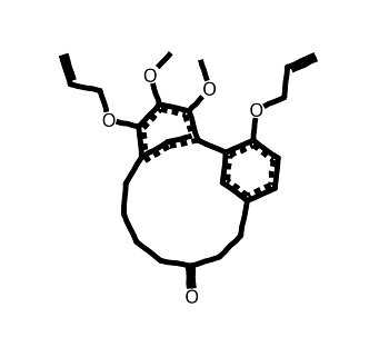 C=CCOc1ccc2cc1-c1cc(c(OCC=C)c(OC)c1OC)CCCCC(=O)CC2